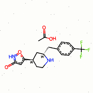 CC(=O)O.O=c1cc([C@@H]2CCN[C@@H](Cc3ccc(C(F)(F)F)cc3)C2)o[nH]1